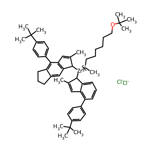 CC1=Cc2c(-c3ccc(C(C)(C)C)cc3)cccc2[CH]1[Zr+2]([CH]1C(C)=Cc2c1cc1c(c2-c2ccc(C(C)(C)C)cc2)CCC1)=[Si](C)CCCCCCOC(C)(C)C.[Cl-].[Cl-]